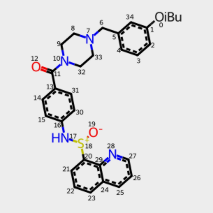 CC(C)COc1cccc(CN2CCN(C(=O)c3ccc(N[S+]([O-])c4cccc5cccnc45)cc3)CC2)c1